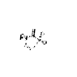 O=S1(=O)CC=[C][NH+]([O-])N1